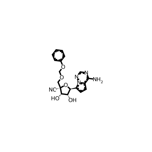 N#C[C@]1(COCOc2ccccc2)O[C@@H](c2ccc3c(N)ncnn23)[C@H](O)[C@@H]1O